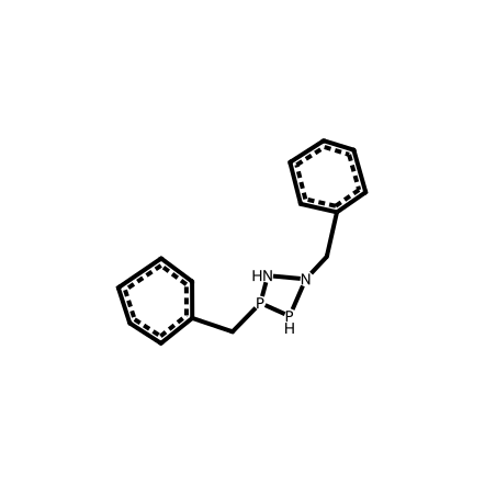 c1ccc(CN2NP(Cc3ccccc3)P2)cc1